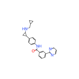 O=C(Nc1ccc(C2CC2NCC2CC2)cc1)c1cccc(-c2ncccn2)c1